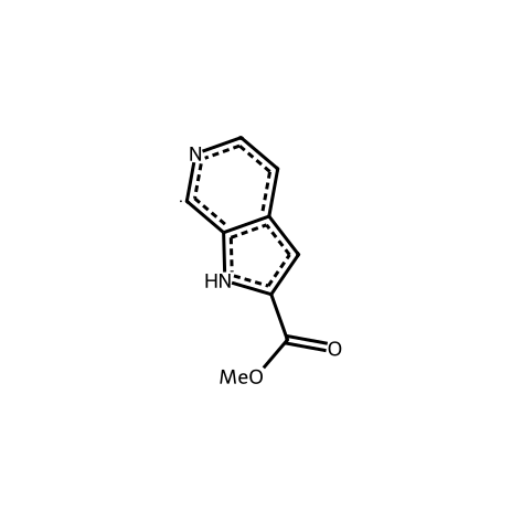 COC(=O)c1cc2ccn[c]c2[nH]1